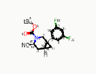 CC(C)(C)OC(=O)N1C[C@@]2(c3cc(F)cc(F)c3)C[C@H]2C[C@H]1C#N